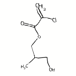 C=C(Cl)C(=O)OCC(C)CO